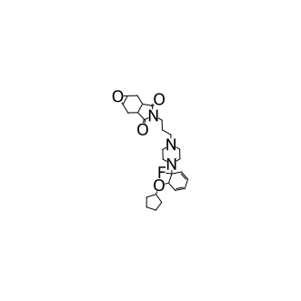 O=C1C2CC3OC3CC2C(=O)N1CCCN1CCN(C2(F)C=CC=CC2OC2CCCC2)CC1